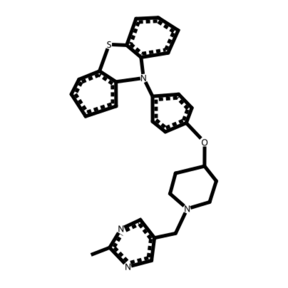 Cc1ncc(CN2CCC(Oc3ccc(N4c5ccccc5Sc5ccccc54)cc3)CC2)cn1